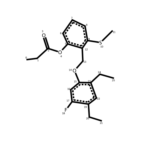 CCC(=O)Oc1cccc(SC)c1COc1cc(F)c(CC)cc1CC